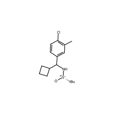 Cc1cc(C(N[S@@+]([O-])C(C)(C)C)C2CCC2)ccc1Cl